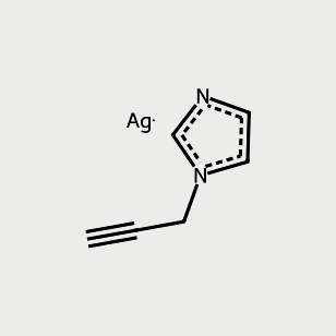 C#CCn1ccnc1.[Ag]